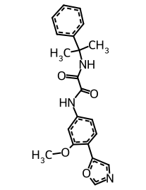 COc1cc(NC(=O)C(=O)NC(C)(C)c2ccccc2)ccc1-c1cnco1